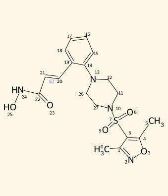 Cc1noc(C)c1S(=O)(=O)N1CCN(c2ccccc2/C=C/C(=O)NO)CC1